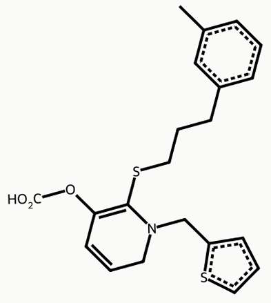 Cc1cccc(CCCSC2=C(OC(=O)O)C=CCN2Cc2cccs2)c1